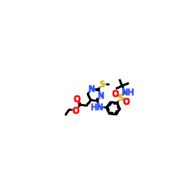 CCOC(=O)CC1CN=C(SC)N=C1Nc1cccc(S(=O)(=O)NC(C)(C)C)c1